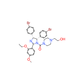 CCOc1cc(OC)ccc1C1=N[C@H](c2ccc(Br)cc2)[C@H](c2ccc(Br)cc2)N1C(=O)N1CCN(CCO)CC1